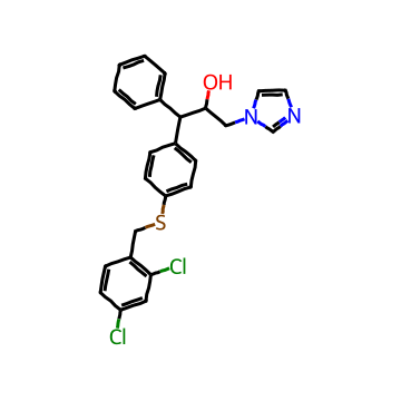 OC(Cn1ccnc1)C(c1ccccc1)c1ccc(SCc2ccc(Cl)cc2Cl)cc1